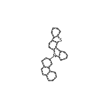 c1ccc2c(c1)ccc1ccc(-n3c4ccccc4c4c5sc6ccccc6c5ccc43)cc12